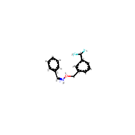 FC(F)c1cccc(CO/N=[C]\c2ccccc2)c1